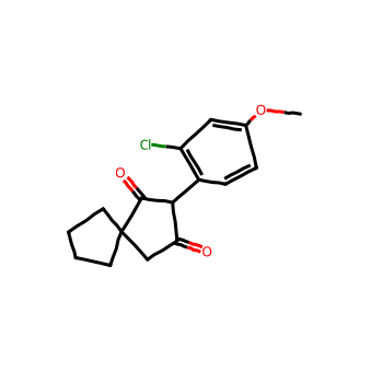 COc1ccc(C2C(=O)CC3(CCCC3)C2=O)c(Cl)c1